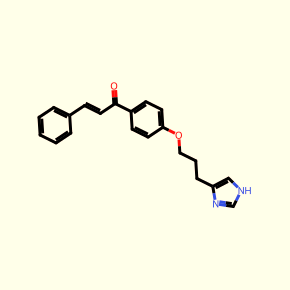 O=C(C=Cc1ccccc1)c1ccc(OCCCc2c[nH]cn2)cc1